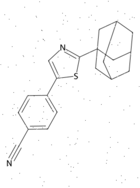 N#Cc1ccc(-c2cnc(C34CC5CC(CC(C5)C3)C4)s2)cc1